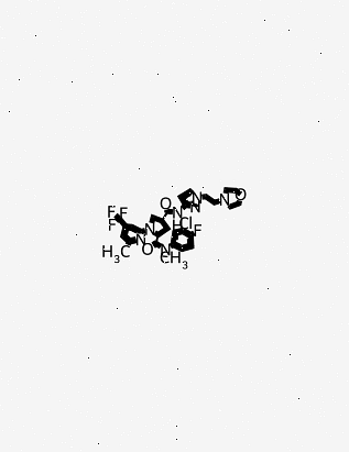 Cc1cc(C(F)(F)F)cc(N2C[C@@H](C(=O)Nc3ccn(CCN4CCOCC4)n3)C[C@H]2C(=O)N(C)c2ccc(F)c(Cl)c2)n1